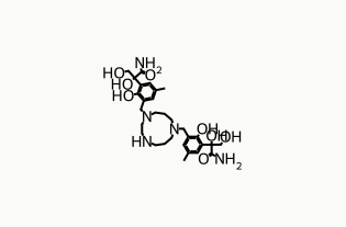 Cc1cc(CN2CCCNCCN(Cc3cc(C)cc(C(O)(CO)C(N)=O)c3O)CCC2)c(O)c(C(O)(CO)C(N)=O)c1